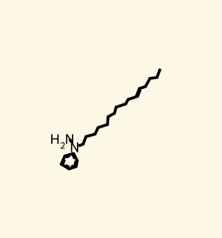 CCCCC=CCCCCCCCCCCN(N)c1ccccc1